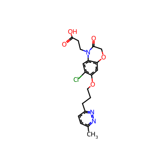 Cc1ccc(CCCOc2cc3c(cc2Cl)N(CCC(=O)O)C(=O)CO3)nn1